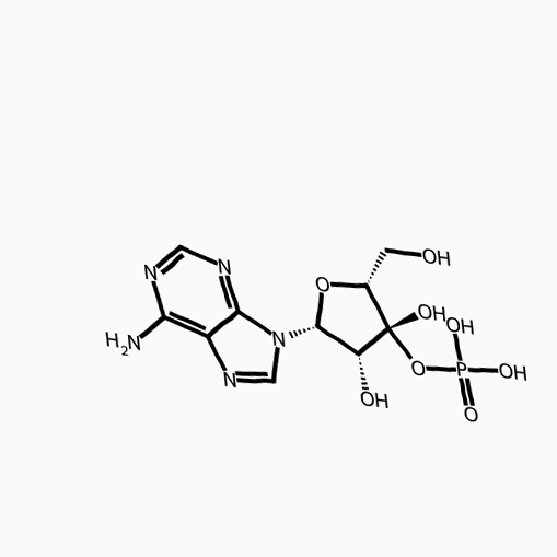 Nc1ncnc2c1ncn2[C@@H]1O[C@H](CO)[C@](O)(OP(=O)(O)O)[C@@H]1O